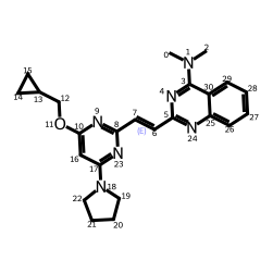 CN(C)c1nc(/C=C/c2nc(OCC3CC3)cc(N3CCCC3)n2)nc2ccccc12